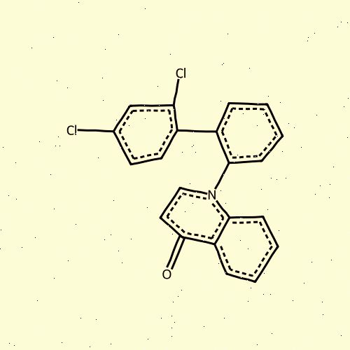 O=c1ccn(-c2ccccc2-c2ccc(Cl)cc2Cl)c2ccccc12